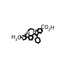 CN1CCC2(C1)CN1CCCn3c(c(C4CCCCC4)c4ccc(C(=O)O)cc43)-c3cccc2c31